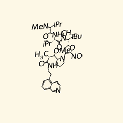 CC[C@H](C)C([C@H]1CC(N2CCC[C@H]2[C@H](OC)[C@@H](C)C(=O)NCCc2cccc3cnccc23)=C(N=O)O1)N(C)C(=O)[C@@H](NC(=O)[C@@H](NC)C(C)C)C(C)C